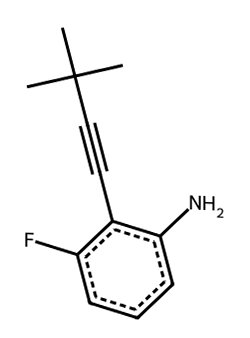 CC(C)(C)C#Cc1c(N)cccc1F